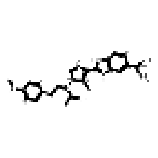 COc1ccc(CCN(C(C)=O)n2cnc(-c3nc4cc(C(=N)N)ccc4[nH]3)c2C)cc1